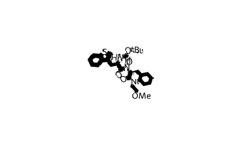 COCCNC(=O)[C@H](CC1CCCCC1)NC(=O)C(Cc1csc2ccccc12)NC(=O)OC(C)(C)C